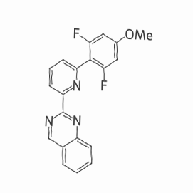 COc1cc(F)c(-c2cccc(-c3ncc4ccccc4n3)n2)c(F)c1